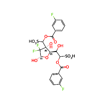 O=C(OC(C(O)[C@H]1O[C@H](O)C(F)(F)[C@@]1(O)C(OC(=O)c1cccc(F)c1)S(=O)(=O)O)S(=O)(=O)O)c1cccc(F)c1